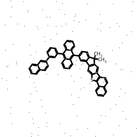 CC1(C)c2ccc(-c3c4ccccc4c(-c4cccc(-c5ccc6ccccc6c5)c4)c4ccccc34)cc2-c2cc3sc4c5ccccc5ccc4c3cc21